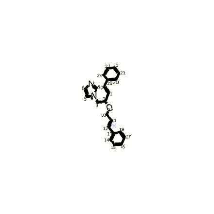 C(=CC(Cn1ccnc1)OC/C=C/c1ccccc1)c1ccccc1